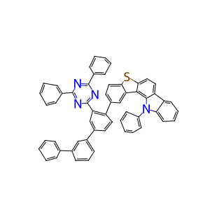 c1ccc(-c2cccc(-c3ccc(-c4ccc5sc6ccc7c8ccccc8n(-c8ccccc8)c7c6c5c4)c(-c4nc(-c5ccccc5)nc(-c5ccccc5)n4)c3)c2)cc1